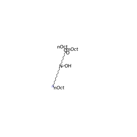 CCCCCCCC/C=C\CCCCCCCCCCN(CCO)CCCCCCCC(=O)OC(CCCCCCCC)CCCCCCCC